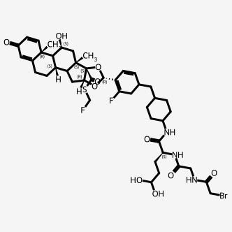 C[C@]12C=CC(=O)C=C1CC[C@@H]1C2[C@@H](O)C[C@@]2(C)C1C[C@H]1O[C@@H](C3=C(F)CC(CC4CCC(NC(=O)[C@H](CCC(O)O)NC(=O)CNC(=O)CBr)CC4)C=C3)O[C@]12C(=O)SCF